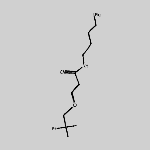 CCC(C)(C)COCCC(=O)NCCCCC(C)(C)C